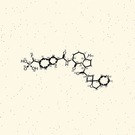 O=C(N[C@H]1CCC[C@H]2CC[C@@H](C(=O)N3CC4(C3)OCc3ccncc34)N2C1=O)c1cc2cc(C(F)P(=O)(O)O)ccc2s1